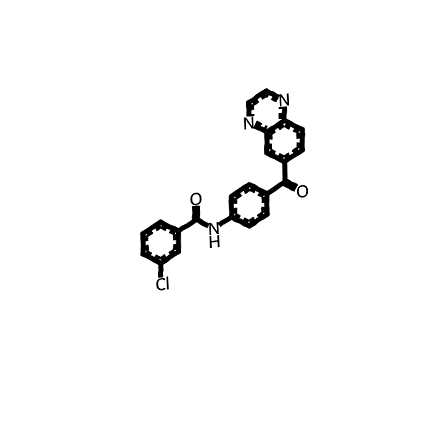 O=C(Nc1ccc(C(=O)c2ccc3nccnc3c2)cc1)c1cccc(Cl)c1